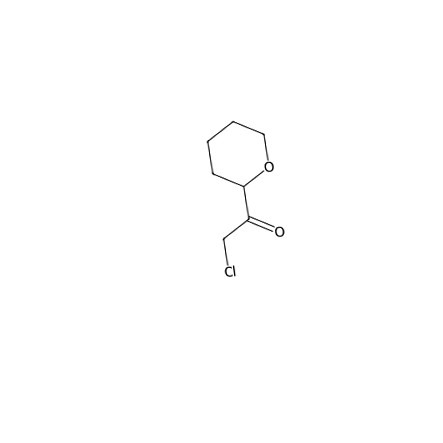 O=C(CCl)C1CCCCO1